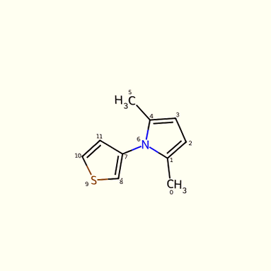 Cc1ccc(C)n1-c1[c]scc1